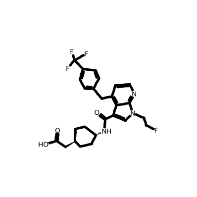 O=C(O)C[C@H]1CC[C@H](NC(=O)c2cn(CCF)c3nccc(Cc4ccc(C(F)(F)F)cc4)c23)CC1